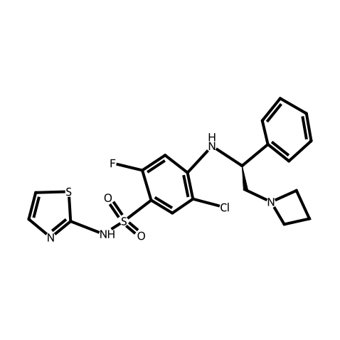 O=S(=O)(Nc1nccs1)c1cc(Cl)c(N[C@H](CN2CCC2)c2ccccc2)cc1F